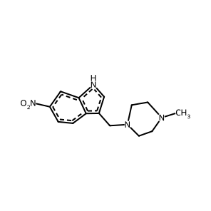 CN1CCN(Cc2c[nH]c3cc([N+](=O)[O-])ccc23)CC1